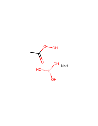 CC(=O)OO.OB(O)O.[NaH]